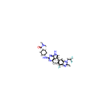 COc1nc(N[C@H]2CC[C@@H](C(=O)N(C)C)CC2)nc2[nH]cc(-c3cc(F)c4nc(C)n(CC(F)F)c4c3)c12